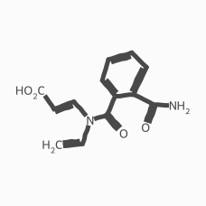 C=CN(C=CC(=O)O)C(=O)c1ccccc1C(N)=O